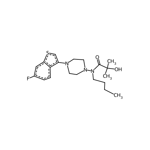 CCCCN(C(=O)C(C)(C)O)N1CCN(c2csc3cc(F)ccc23)CC1